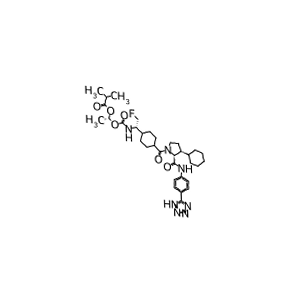 CC(C)C(=O)O[C@@H](C)OC(=O)N[C@H](CF)C1CCC(C(=O)N2CC[C@@H](C3CCCCC3)[C@H]2C(=O)Nc2ccc(-c3nnn[nH]3)cc2)CC1